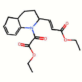 CCOC(=O)C=CC1CCC2CC=CC=C2N1C(=O)C(=O)OCC